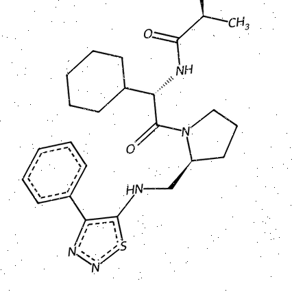 CN[C@@H](C)C(=O)N[C@H](C(=O)N1CCC[C@H]1CNc1snnc1-c1ccccc1)C1CCCCC1